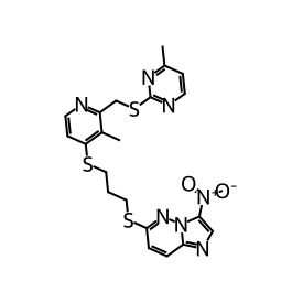 Cc1ccnc(SCc2nccc(SCCCSc3ccc4ncc([N+](=O)[O-])n4n3)c2C)n1